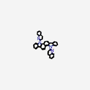 c1ccc2nc(-n3c4ccccc4c4ccc5c(ccc6c7ccccc7n(-c7ccc8ccccc8n7)c65)c43)ccc2c1